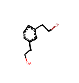 OCCc1cccc([CH]CBr)c1